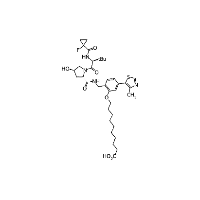 Cc1ncsc1-c1ccc(CNC(=O)[C@@H]2C[C@@H](O)CN2C(=O)[C@@H](NC(=O)C2(F)CC2)C(C)(C)C)c(OCCCCCCCCCC(=O)O)c1